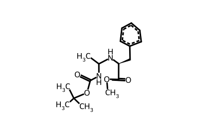 COC(=O)[C@H](Cc1ccccc1)NC(C)NC(=O)OC(C)(C)C